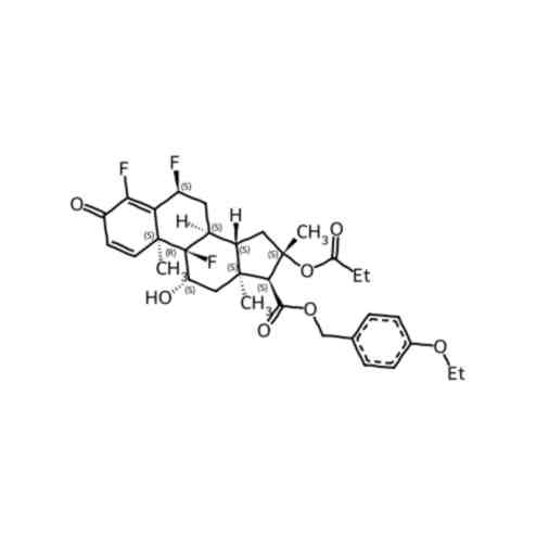 CCOc1ccc(COC(=O)[C@H]2[C@@]3(C)C[C@H](O)[C@@]4(F)[C@@H](C[C@H](F)C5=C(F)C(=O)C=C[C@@]54C)[C@@H]3C[C@]2(C)OC(=O)CC)cc1